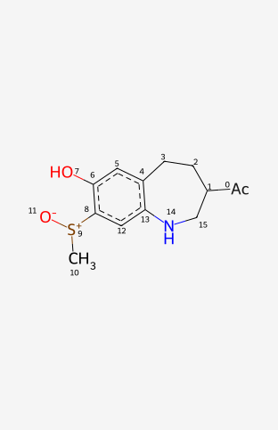 CC(=O)C1CCc2cc(O)c([S+](C)[O-])cc2NC1